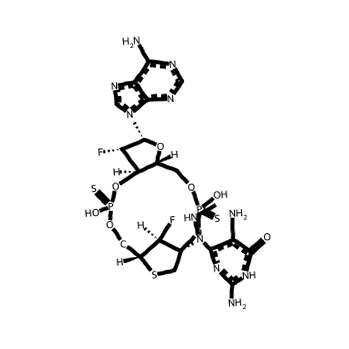 CNN(c1nc(N)[nH]c(=O)c1N)[C@@]12CS[C@H](COP(O)(=S)O[C@H]3[C@H](F)[C@H](n4cnc5c(N)ncnc54)O[C@@H]3COP(O)(=S)O1)[C@H]2F